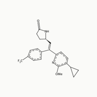 COc1nc(C(=C[C@H]2CCC(=O)N2)c2ccc(C(F)(F)F)cc2)ccc1C1CC1